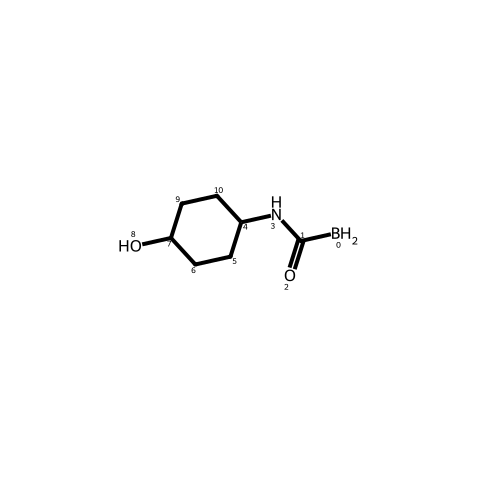 BC(=O)NC1CCC(O)CC1